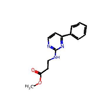 COC(=O)CCNc1nccc(-c2ccccc2)n1